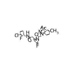 CC(=O)c1nn(CC(=O)N2C[C@H](F)C[C@H]2CC(=O)NCc2cccc(Cl)c2F)c2ccc(C)cc12